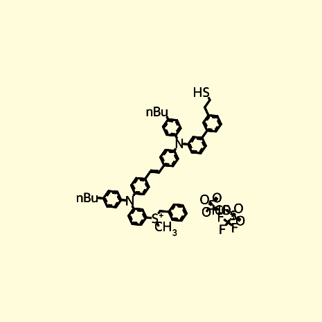 CCCCc1ccc(N(c2ccc(C=Cc3ccc(N(c4ccc(CCCC)cc4)c4cccc([S+](C)Cc5ccccc5)c4)cc3)cc2)c2cccc(-c3cccc(CCS)c3)c2)cc1.O=S(=O)(O)C(F)(F)F.O=S(=O)([O-])C(F)(F)F